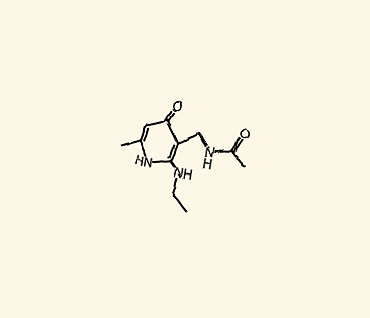 CCNc1[nH]c(C)cc(=O)c1CNC(C)=O